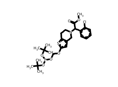 COC(=O)C(c1ccccc1Cl)N1CCc2sc(OCOP(OC(C)(C)C)OC(C)(C)C)cc2C1